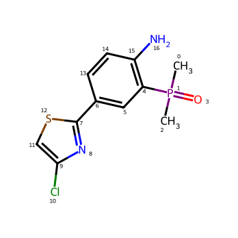 CP(C)(=O)c1cc(-c2nc(Cl)cs2)ccc1N